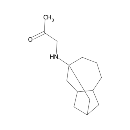 CC(=O)CNC12CCCC3CC(CC3C1)C2